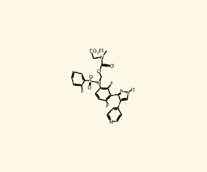 CCOC(=O)CN(C)C(=O)OCN(c1ccc(F)c(-c2nn(CC)cc2-c2ccncc2)c1F)S(=O)(=O)c1ccccc1F